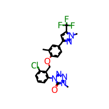 Cc1cc(-c2cc(C(F)(F)F)n(C)n2)ccc1OCc1c(Cl)cccc1-n1nnn(C)c1=O